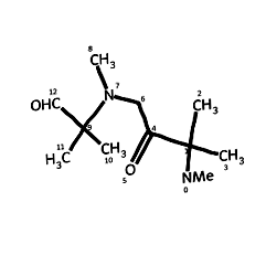 CNC(C)(C)C(=O)CN(C)C(C)(C)C=O